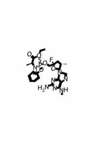 CCOC(=O)[C@H](C)N[P@](=S)(OC[C@]1(F)C[C@H](C)[C@H](n2cnc3c(NC)nc(N)nc32)O1)Oc1ccccc1